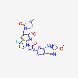 COC1CC(Nc2nc(NC(=O)N3c4nc(C=O)c(CN5CCN(C)CC5=O)cc4C4(F)CC3C4)ncc2C#N)C1